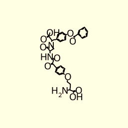 NC(CCOc1ccc(C(=O)C(=O)NC2CN(C(C(=O)O)c3ccc(OC(=O)c4ccccc4)cc3)C2=O)cc1)C(=O)O